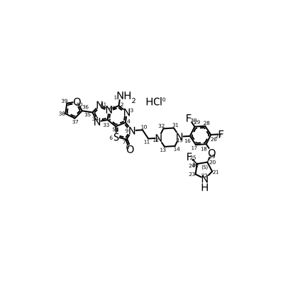 Cl.Nc1nc2c(sc(=O)n2CCN2CCN(c3cc(O[C@H]4CNC[C@H]4F)c(F)cc3F)CC2)c2nc(-c3ccco3)nn12